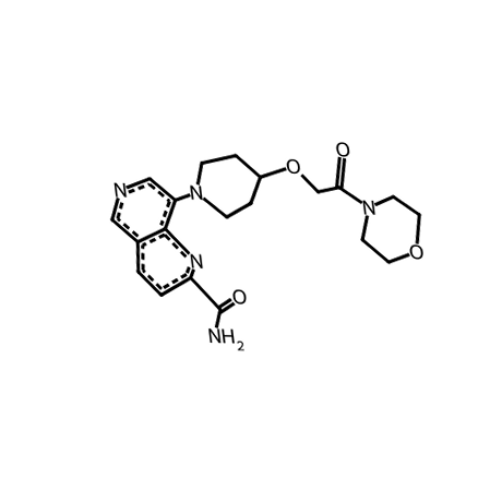 NC(=O)c1ccc2cncc(N3CCC(OCC(=O)N4CCOCC4)CC3)c2n1